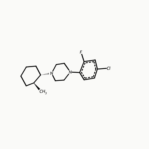 C[C@H]1CCCC[C@@H]1N1CCN(c2ccc(Cl)cc2F)CC1